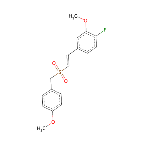 COc1ccc(CS(=O)(=O)/C=C/c2ccc(F)c(OC)c2)cc1